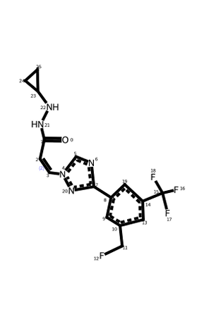 O=C(/C=C\n1cnc(-c2cc(CF)cc(C(F)(F)F)c2)n1)NNC1CC1